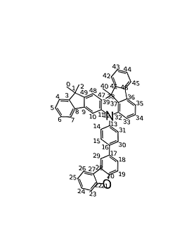 CC1(C)c2ccccc2-c2cc(N(c3ccc(-c4ccc5oc6ccccc6c5c4)cc3)c3cccc4c3C(C)(C)c3ccccc3-4)ccc21